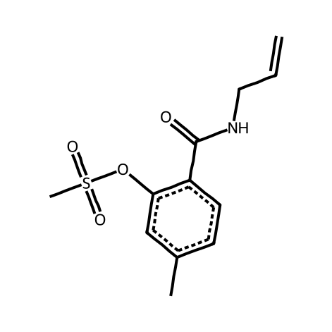 C=CCNC(=O)c1ccc(C)cc1OS(C)(=O)=O